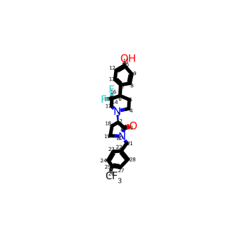 O=C1[C@H](N2CCC(c3ccc(O)cc3)C(F)(F)C2)CCN1Cc1ccc(C(F)(F)F)cc1